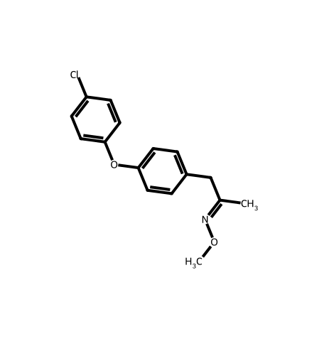 CON=C(C)Cc1ccc(Oc2ccc(Cl)cc2)cc1